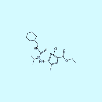 CCOC(=O)c1cc(F)c(N[C@@H](C(=O)NCC2CCCCC2)C(C)C)nc1Cl